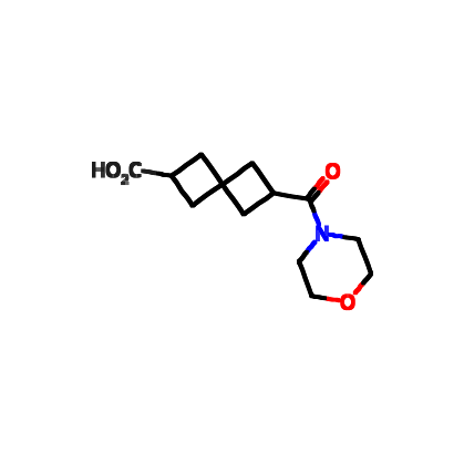 O=C(O)C1CC2(C1)CC(C(=O)N1CCOCC1)C2